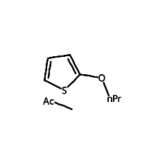 CC(C)=O.CCCOc1cccs1